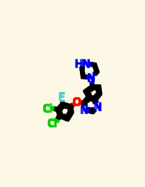 Fc1c(Oc2ncnc3ccc(N4CCNCC4)cc23)ccc(Cl)c1Cl